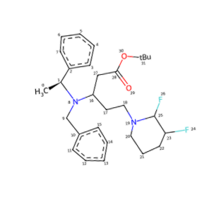 C[C@@H](c1ccccc1)N(Cc1ccccc1)C(CCN1CCCC(F)C1F)CC(=O)OC(C)(C)C